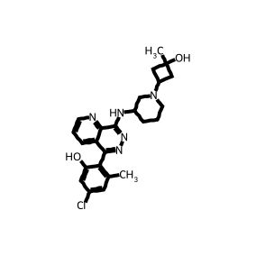 Cc1cc(Cl)cc(O)c1-c1nnc(NC2CCCN(C3CC(C)(O)C3)C2)c2ncccc12